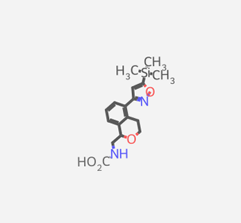 C[Si](C)(C)c1cc(-c2cccc3c2CCOC3CNC(=O)O)no1